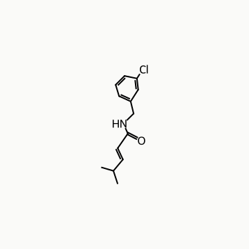 CC(C)C=CC(=O)NCc1cccc(Cl)c1